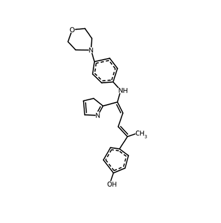 C/C(=C\C=C(\Nc1ccc(N2CCOCC2)cc1)C1=NC=CC1)c1ccc(O)cc1